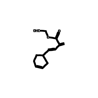 C=C(C=CC1CC=CCC1)C(=O)OCC=O